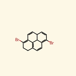 BrC1=C2C=CC3=C4C(=C(Br)CC3)C=CC(C=C1)C24